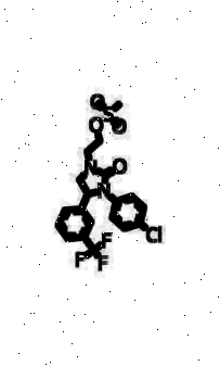 CS(=O)(=O)OCCN1CC(c2cccc(C(F)(F)F)c2)N(c2ccc(Cl)cc2)C1=O